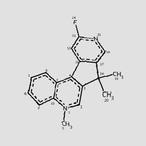 C[n+]1cc2c(c3ccccc31)-c1cc(F)ncc1C2(C)C